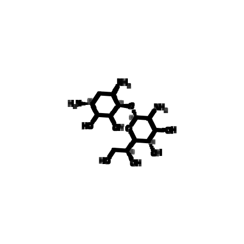 NC1C(O)[C@H](O)C([C@@H](O)CO)O[C@@H]1O[C@@H]1C(N)C[C@@H](N)C(O)C1O